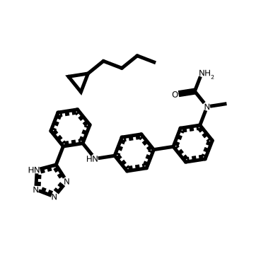 CCCCC1CC1.CN(C(N)=O)c1cccc(-c2ccc(Nc3ccccc3-c3nnn[nH]3)cc2)c1